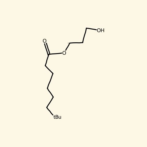 CC(C)(C)CCCCCC(=O)O[CH]CCO